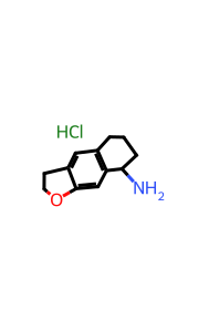 Cl.NC1CCCc2cc3c(cc21)OCC3